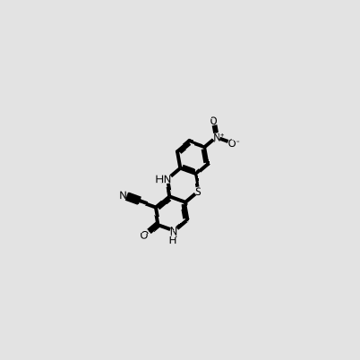 N#Cc1c2c(c[nH]c1=O)Sc1cc([N+](=O)[O-])ccc1N2